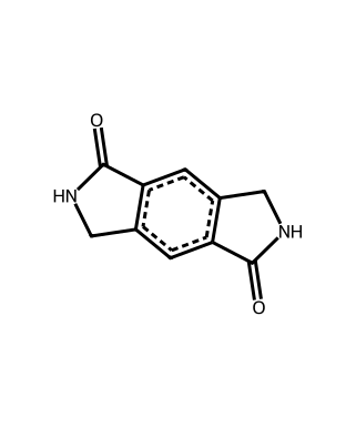 O=C1NCc2cc3c(cc21)CNC3=O